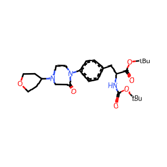 CC(C)(C)OC(=O)NC(Cc1ccc(N2CCN(C3CCOCC3)CC2=O)cc1)C(=O)OC(C)(C)C